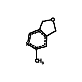 Cc1cc2c(cn1)COC2